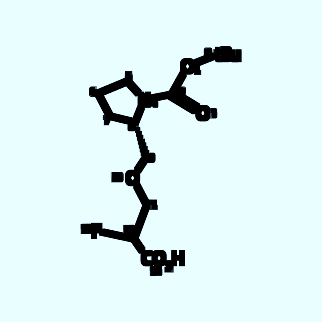 CC(C)(C)OC(=O)N1CCC[C@H]1COCC(F)C(=O)O